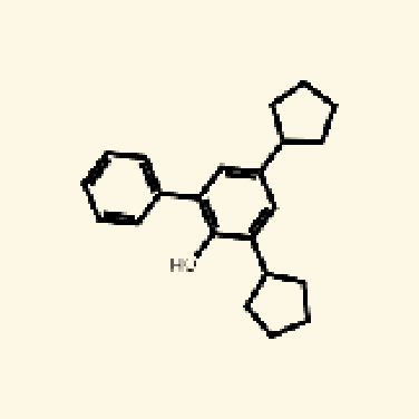 Oc1c(-c2ccccc2)cc(C2CCCC2)cc1C1CCCC1